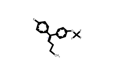 CCC/C=C(/c1ccc(F)cc1)c1ccc(OC(F)(F)F)cc1